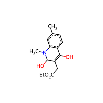 CCOC(=O)CC1=C(O)c2ccc(C)cc2N(C)C1O